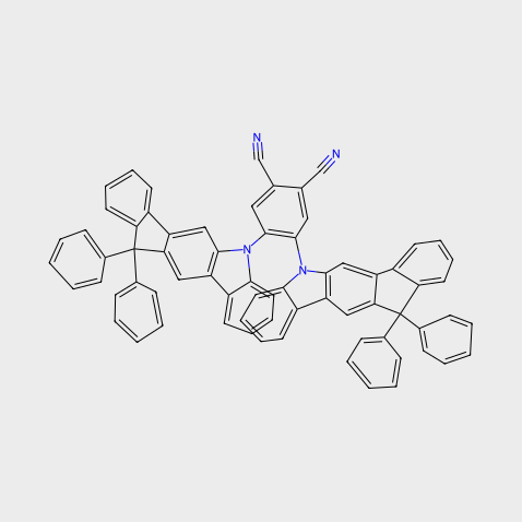 N#Cc1cc(-n2c3ccccc3c3cc4c(cc32)-c2ccccc2C4(c2ccccc2)c2ccccc2)c(-n2c3ccccc3c3cc4c(cc32)-c2ccccc2C4(c2ccccc2)c2ccccc2)cc1C#N